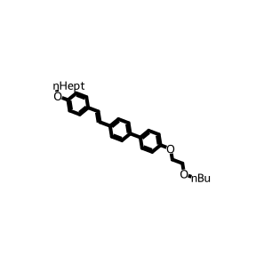 CCCCCCCOc1ccc(C=Cc2ccc(-c3ccc(OCCOCCCC)cc3)cc2)cc1